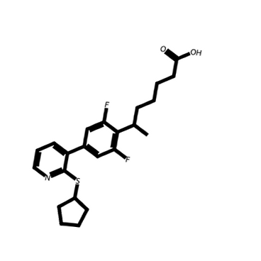 CC(CCCCC(=O)O)c1c(F)cc(-c2cccnc2SC2CCCC2)cc1F